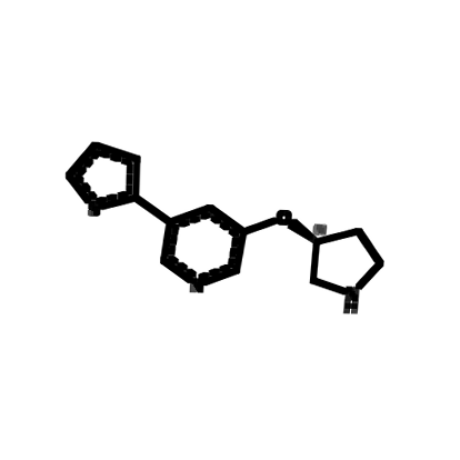 c1csc(-c2cncc(O[C@H]3CCNC3)c2)c1